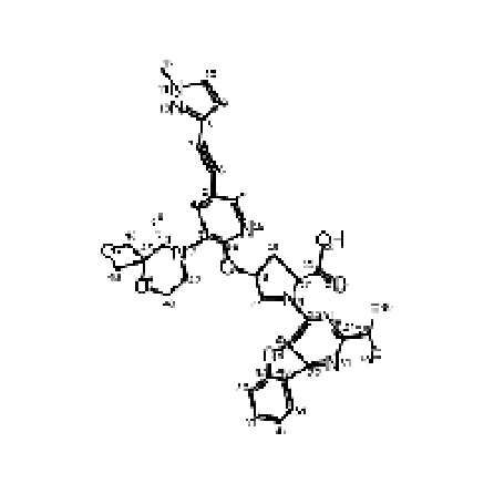 C[C@@H]1N(c2cc(C#Cc3ccn(C)n3)cnc2O[C@H]2C[C@@H](C(=O)O)N(c3nc(C(F)F)nc4c3oc3ccccc34)C2)CCOC12COC2